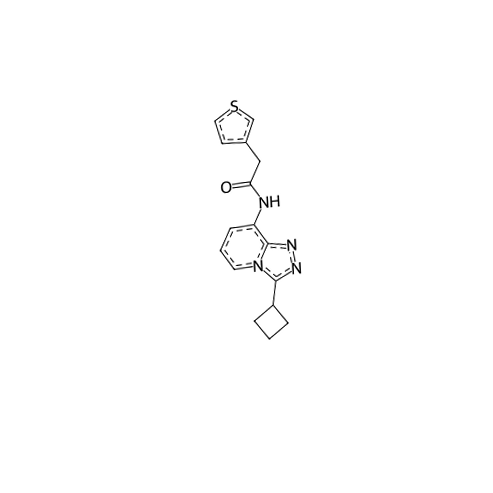 O=C(Cc1ccsc1)Nc1cccn2c(C3CCC3)nnc12